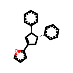 C1=C(c2ccco2)C[C@@H](c2ccccc2)[C@@H]1c1ccccc1